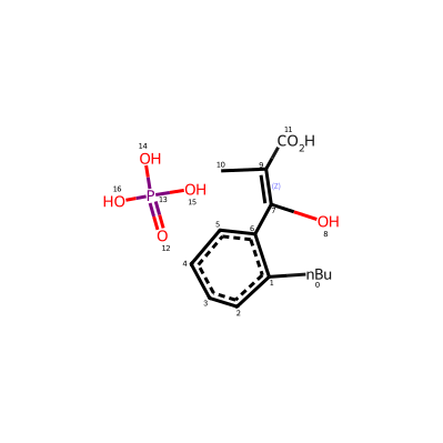 CCCCc1ccccc1/C(O)=C(\C)C(=O)O.O=P(O)(O)O